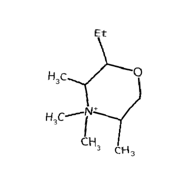 CCC1OCC(C)[N+](C)(C)C1C